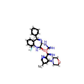 N#Cc1cnc(C(=N)OC(=N)N[C@H]2N=C(c3ccccc3)c3cccc(F)c3NC2=O)c(N2CCOCC2)c1